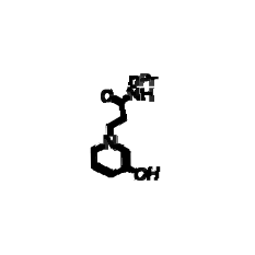 CCCNC(=O)CCN1C=C(O)C=CC1